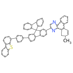 CC1C=Cc2c(c3nc(-c4ccc5c(c4)C4(c6ccccc6-c6ccccc64)c4cc(-c6ccc(-c7cccc8c7sc7ccccc78)cc6)ccc4-5)cnc3c3ccccc23)C1